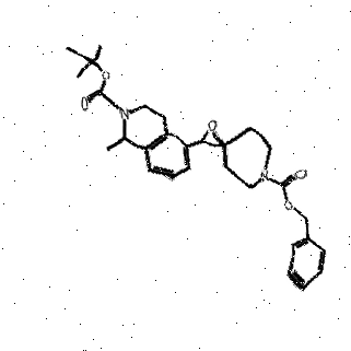 CC1c2cccc(C3OC34CCN(C(=O)OCc3ccccc3)CC4)c2CCN1C(=O)OC(C)(C)C